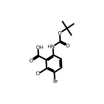 CC(C)(C)OC(=O)Nc1ccc(Br)c(Cl)c1C(=O)O